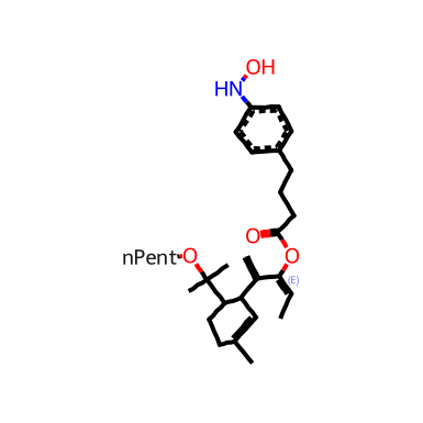 C=C(/C(=C\C)OC(=O)CCCc1ccc(NO)cc1)C1C=C(C)CCC1C(C)(C)OCCCCC